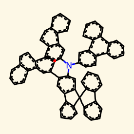 c1ccc2c(c1)-c1ccccc1C21c2ccccc2-c2cc(-c3ccc4ccc5ccccc5c4c3)c(N(c3ccc4ccc5ccccc5c4c3)c3ccc4c5ccccc5c5ccccc5c4c3)cc21